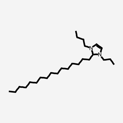 CCCCCCCCCCCCCCCCC1N(CCC)C=CN1CCCC